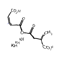 C=C(CC(=O)OC(=O)/C=C\C(=O)O)C(=O)O.[KH].[KH].[KH]